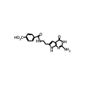 Nc1nc2[nH]c(CCNC(=O)c3ccc(C(=O)O)cc3)cc2c(=O)[nH]1